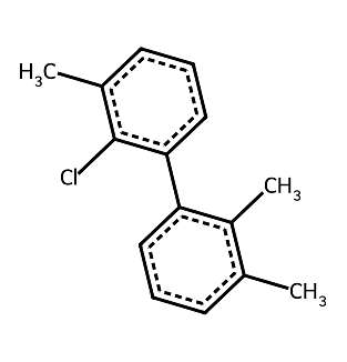 Cc1cccc(-c2cccc(C)c2Cl)c1C